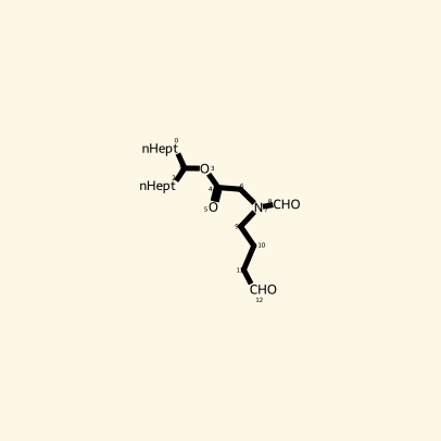 CCCCCCCC(CCCCCCC)OC(=O)CN(C=O)CCCC=O